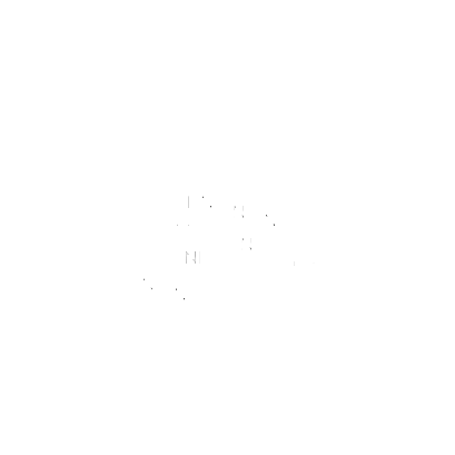 O=C(NCc1ncccn1)c1cnc(N2CCCC2CO)nc1NCc1cccc(Cl)c1